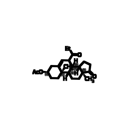 CCC(=O)C1C=C2C[C@@H](OC(C)=O)CC[C@]2(C)[C@H]2CC[C@]3(C)C(=O)CC[C@H]3[C@H]12